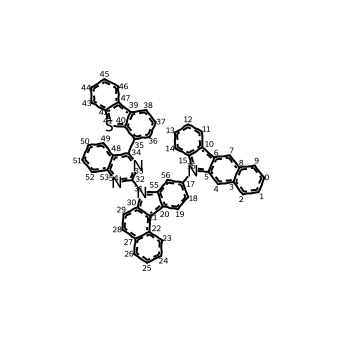 c1ccc2cc3c(cc2c1)c1ccccc1n3-c1ccc2c3c4ccccc4ccc3n(-c3nc(-c4cccc5c4sc4ccccc45)c4ccccc4n3)c2c1